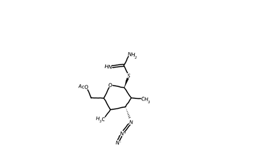 CC(=O)OCC1O[C@@H](SC(=N)N)C(C)[C@H](N=[N+]=[N-])C1C